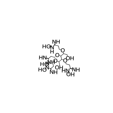 N=C(CCOC(CO)C(OCCC(=N)NO)C(OCCC(=N)NO)C(CO)OCCC(=N)NO)NO